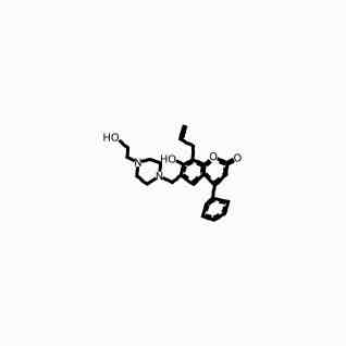 C=CCc1c(O)c(CN2CCN(CCO)CC2)cc2c(-c3ccccc3)cc(=O)oc12